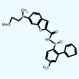 COCCN(C)c1ccc2cc(C(=O)N[S+]([O-])c3ccc(C)cc3-c3ccccc3)oc2c1